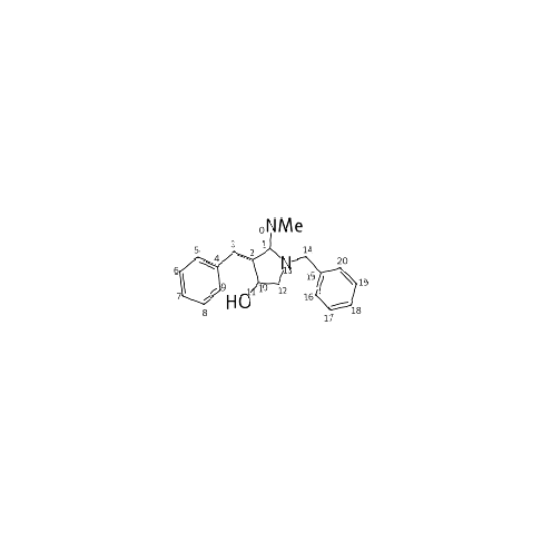 CNC1C(Cc2ccccc2)C(O)CN1Cc1ccccc1